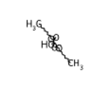 CCCCCCCCOC(=O)CC(O)C(=O)OCCCCCCCC